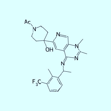 CC(=O)N1CCC(O)(c2cc3c(=NC(C)c4cccc(C(F)(F)F)c4C)nc(C)n(C)c3cn2)CC1